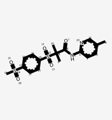 Cc1ccc(NC(=O)C(C)(C)S(=O)(=O)c2ccc(S(C)(=O)=O)cc2)nc1